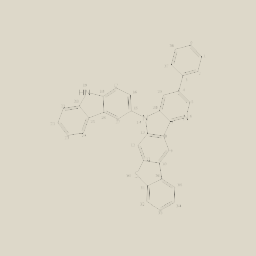 c1ccc(-c2cnc3c4cc5c(cc4n(-c4ccc6[nH]c7ccccc7c6c4)c3c2)sc2ccccc25)cc1